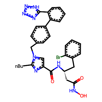 CCCCc1nc(C(=O)N[C@@H](CC(=O)NO)Cc2ccccc2Br)cn1Cc1ccc(-c2ccccc2-c2nnn[nH]2)cc1